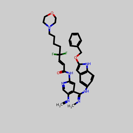 C=Nc1cnc(NC(=O)/C=C/C(F)(F)CCCCN2CCOCC2)cc1/C(=N\C)Nc1ccc2[nH]c(OCc3ccccc3)cc2c1